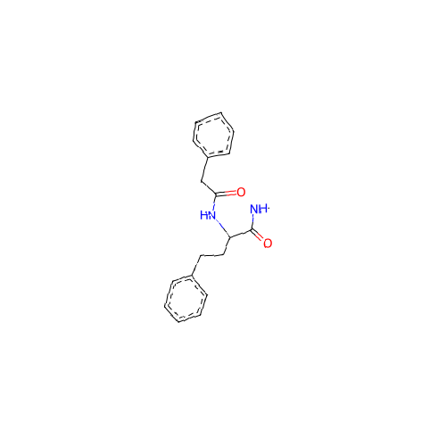 [NH]C(=O)C(CCc1ccccc1)NC(=O)Cc1ccccc1